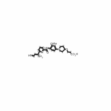 COc1cc(N2CCC(OCCC(=O)O)CC2)ccc1NC(=O)c1cccc(/C(N)=C/C=N)n1